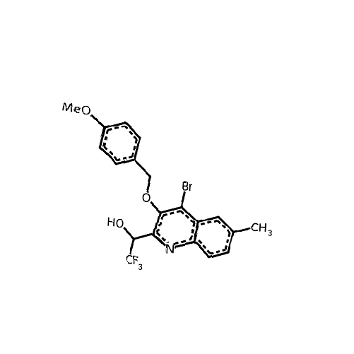 COc1ccc(COc2c(C(O)C(F)(F)F)nc3ccc(C)cc3c2Br)cc1